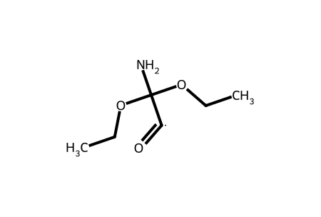 CCOC(N)([C]=O)OCC